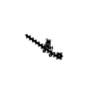 CCCCCCCCCCCCNC(=O)C(CCC(=O)OCc1ccccc1)NC(=O)OC(C)(C)C